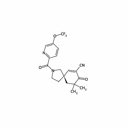 CC1(C)C[C@@]2(C=C(C#N)C1=O)CCN(C(=O)c1ccc(OC(F)(F)F)cn1)C2